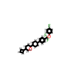 Fc1ccc(OC(F)(F)c2ccc(C3CCC(C4CCC(C5CCC5)CO4)CC3)cc2)cc1